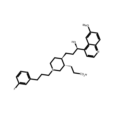 COc1ccc2nccc([C@H](O)CC[C@@H]3CCN(CCCc4cccc(F)c4)C[C@H]3CCC(=O)O)c2c1